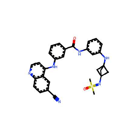 CS(C)(=O)=NC12CC(Nc3cccc(NC(=O)c4cccc(Nc5ccnc6ccc(C#N)cc56)c4)c3)(C1)C2